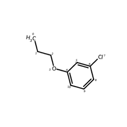 CCCOc1[c]c(Cl)ccc1